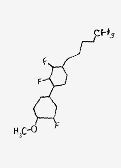 CCCCCC1CCC(C2CCC(OC)C(F)C2)C(F)C1F